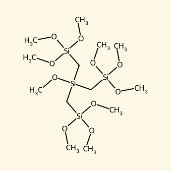 CO[Si](C[Si](OC)(OC)OC)(C[Si](OC)(OC)OC)C[Si](OC)(OC)OC